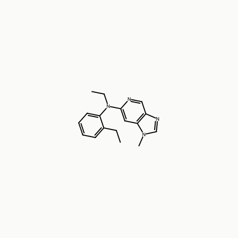 CCc1ccccc1N(CC)c1cc2c(cn1)ncn2C